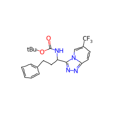 CC(C)(C)OC(=O)NC(CCc1ccccc1)c1nnc2ccc(C(F)(F)F)cn12